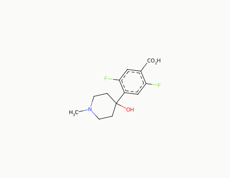 CN1CCC(O)(c2cc(F)c(C(=O)O)cc2F)CC1